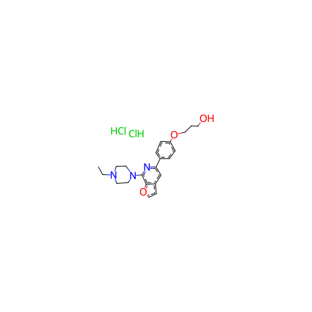 CCN1CCN(c2nc(-c3ccc(OCCCO)cc3)cc3ccoc23)CC1.Cl.Cl